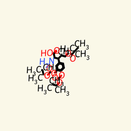 CCC(C)(C)C(=O)OCC(C)C(c1ccc(OC(=O)OC(C)C(C)C)c(OC(=O)OC(C)C(C)C)c1)[C@H](N)C(=O)O